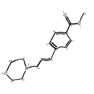 COC(=O)c1ccc(/C=C/CN2CCOCC2)cc1